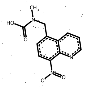 CN(Cc1ccc([N+](=O)[O-])c2ncccc12)C(=O)O